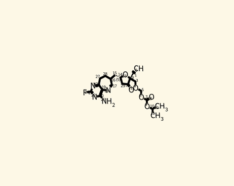 C#C[C@]1(COCOC(=O)OC(C)C)O[C@@H](CC2C=Nc3c(N)nc(F)nc3CC2)CC1=O